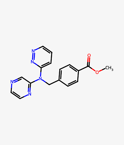 COC(=O)c1ccc(CN(c2cnccn2)c2cccnn2)cc1